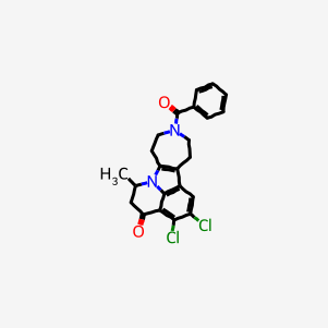 CC1CC(=O)c2c(Cl)c(Cl)cc3c4c(n1c23)CCN(C(=O)c1ccccc1)CC4